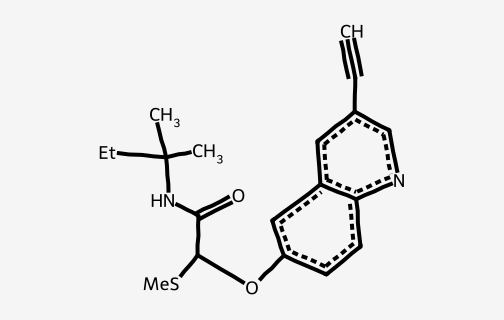 C#Cc1cnc2ccc(OC(SC)C(=O)NC(C)(C)CC)cc2c1